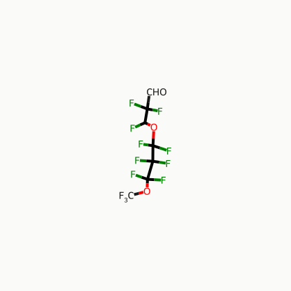 O=CC(F)(F)C(F)OC(F)(F)C(F)(F)C(F)(F)OC(F)(F)F